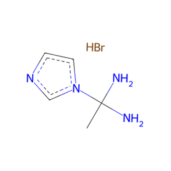 Br.CC(N)(N)n1ccnc1